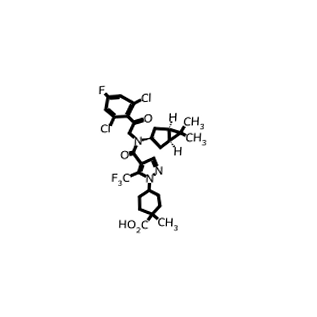 CC1(C(=O)O)CCC(n2ncc(C(=O)N(CC(=O)c3c(Cl)cc(F)cc3Cl)[C@H]3C[C@@H]4[C@H](C3)C4(C)C)c2C(F)(F)F)CC1